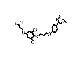 COC/C(=N\OC)c1ccc(OCCCOc2c(Cl)cc(OCC=C(Cl)Cl)cc2Cl)cc1